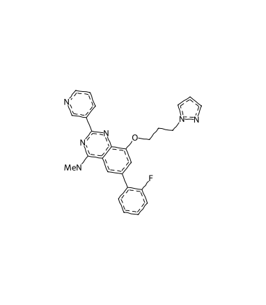 CNc1nc(-c2cccnc2)nc2c(OCCCn3cccn3)cc(-c3ccccc3F)cc12